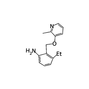 CCc1cccc(N)c1COc1cccnc1C